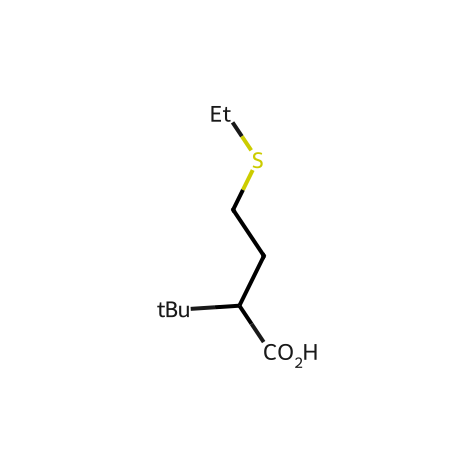 CCSCCC(C(=O)O)C(C)(C)C